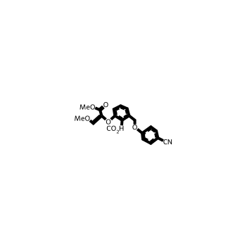 COC=C(Oc1cccc(COc2ccc(C#N)cc2)c1C(=O)O)C(=O)OC